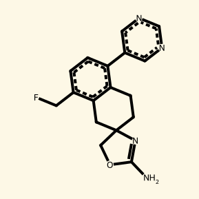 NC1=NC2(CCc3c(-c4cncnc4)ccc(CF)c3C2)CO1